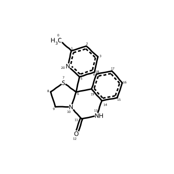 Cc1cccc(C23SCCN2C(=O)Nc2ccccc23)n1